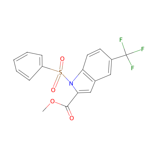 COC(=O)c1cc2cc(C(F)(F)F)ccc2n1S(=O)(=O)c1ccccc1